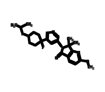 COc1ccc2c(n1)C(C)(C)N(c1cncc(C3(F)CCN(SC(C)C)CC3)c1)C2=O